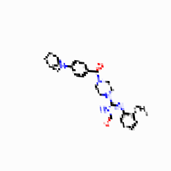 Cc1ccccc1/N=C(\NC=O)N1CCN(C(=O)c2ccc(N3CC4CCC3C4)cc2)CC1